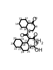 NC(=O)C(C(=O)N1CCC(=O)C2CCCCC21)C1C2CCCCC2CCN1C(=O)O